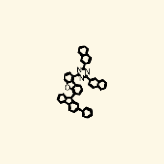 c1ccc(-c2ccc3c(c2)C(c2cccc4c2oc2cccc(-c5nc(-c6ccc7ccccc7c6)nc(-c6ccc7ccccc7c6)n5)c24)c2ccccc2-3)cc1